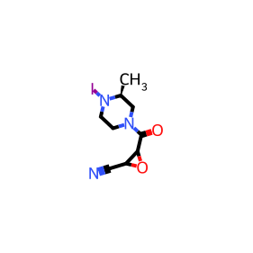 C[C@H]1CN(C(=O)C2OC2C#N)CCN1I